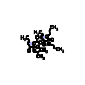 C/C=C/C(=O)P(=O)(OC(C)C)OC(C)C.C/C=C/C(=O)P(=O)(OCCC)OCCC